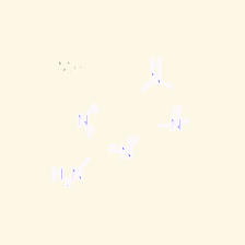 COc1nc(N)nc2c1NC=[N+]2